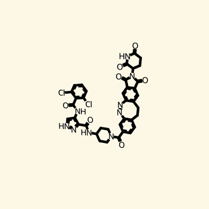 O=C1CCC(N2C(=O)c3cc4c(cc3C2=O)/N=N\c2cc(C(=O)N3CCC(NC(=O)c5n[nH]cc5NC(=O)c5c(Cl)cccc5Cl)CC3)ccc2CC4)C(=O)N1